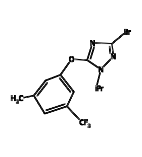 Cc1cc(Oc2nc(Br)nn2C(C)C)cc(C(F)(F)F)c1